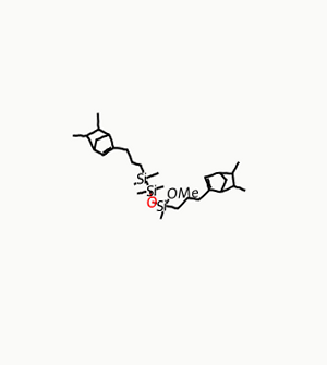 CO[Si](C)(CCCC1=CC2CC1C(C)C2C)O[Si](C)(C)[Si](C)(C)CCCC1=CC2CC1C(C)C2C